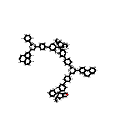 C1=Cc2cc(-c3cc(-c4ccc(-c5ccc6c(c5)Oc5cc(-c7ccc(-c8nc(-c9ccc(-c%10ccc%11c(c%10)Oc%10ccccc%10C%11%10c%11ccccc%11-c%11ccccc%11%10)cc9)cc(-c9ccc%10c(ccc%11ccccc%11%10)c9)n8)cc7)ccc5C65c6ccccc6-c6ccccc65)cc4)nc(-c4ccccc4)n3)cc3cccc(c23)C1